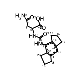 NC(=O)CC(NC(=O)Nc1c2c(cc3c1CCC3)CCC2)C(=O)O